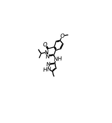 COc1ccc2c(Nc3cc(C)[nH]n3)nn(C(C)C)c(=O)c2c1